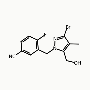 Cc1c(Br)nn(Cc2cc(C#N)ccc2F)c1CO